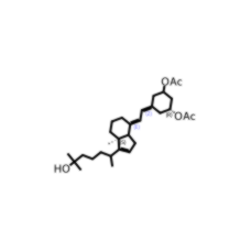 CC(=O)OC1C/C(=C/C=C2\CCC[C@]3(C)C(C(C)CCCC(C)(C)O)=CCC23)C[C@@H](OC(C)=O)C1